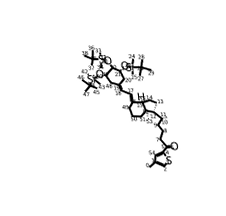 Cc1csc(C(=O)CCC[C@@H](C)[C@H]2CC[C@H]3/C(=C/C=C4C[C@@H](O[Si](C)(C)C(C)(C)C)C(O[Si](C)(C)C(C)(C)C)[C@H](O[Si](C)(C)C(C)(C)C)C4)CCC[C@]23C)c1